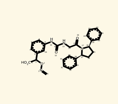 C=NOC(C(=O)O)c1cccc(NC(=O)NCC(=O)N2[C@@H](c3ccccc3)CC[C@H]2c2ccccc2)c1